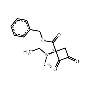 CCN(C)[C@@]1(C(=O)OCc2ccccc2)CC(=O)C1=O